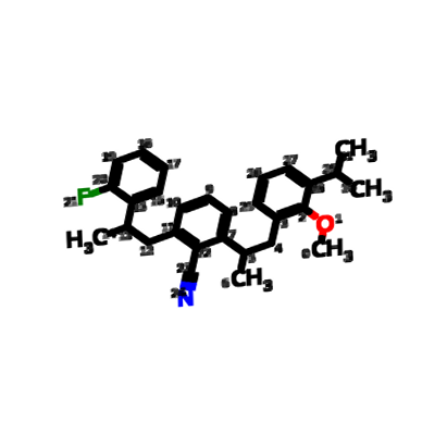 COc1c(CC(C)c2cccc(CC(C)c3ccccc3F)c2C#N)cccc1C(C)C